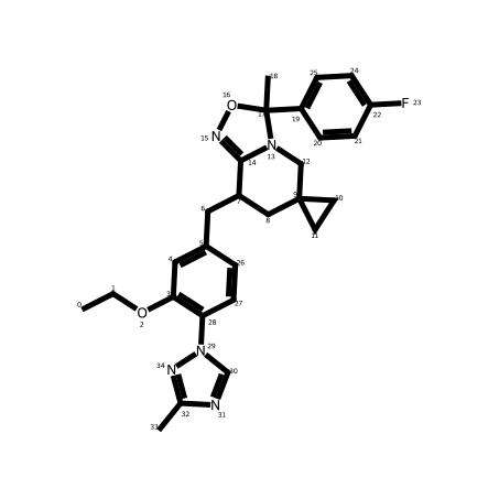 CCOc1cc(CC2CC3(CC3)CN3C2=NOC3(C)c2ccc(F)cc2)ccc1-n1cnc(C)n1